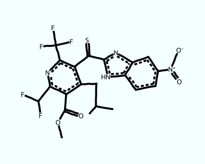 COC(=O)c1c(C(F)F)nc(C(F)(F)F)c(C(=S)c2nc3cc([N+](=O)[O-])ccc3[nH]2)c1CC(C)C